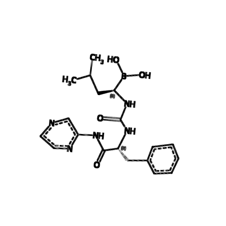 CC(C)C[C@H](NC(=O)N[C@H](Cc1ccccc1)C(=O)Nc1cnccn1)B(O)O